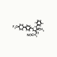 CC#N.CCC(CCc1ccc(C2CCC(C(F)(F)F)CC2)cc1)N(C)Cc1ccccc1